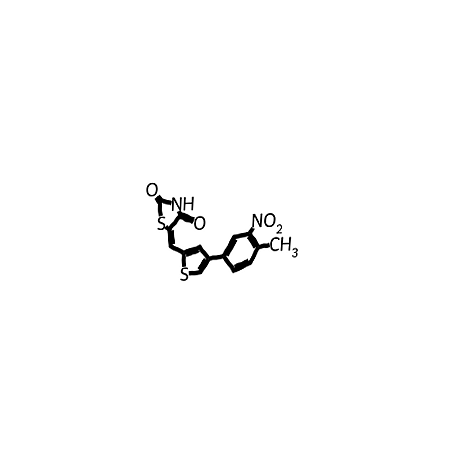 Cc1ccc(-c2csc(C=C3SC(=O)NC3=O)c2)cc1[N+](=O)[O-]